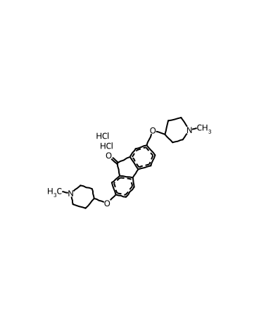 CN1CCC(Oc2ccc3c(c2)C(=O)c2cc(OC4CCN(C)CC4)ccc2-3)CC1.Cl.Cl